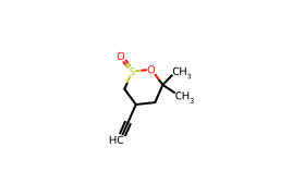 C#CC1CS(=O)OC(C)(C)C1